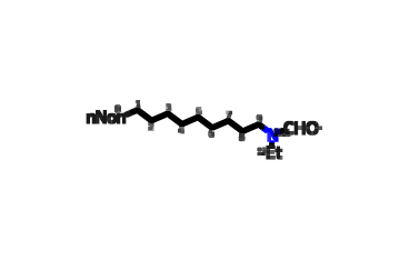 CCCCCCCCCCCCCCCCCCN([C]=O)CC